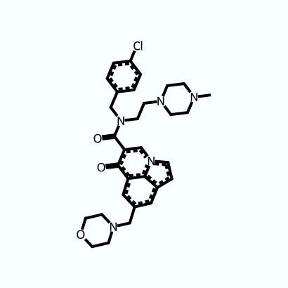 CN1CCN(CCN(Cc2ccc(Cl)cc2)C(=O)c2cn3ccc4cc(CN5CCOCC5)cc(c2=O)c43)CC1